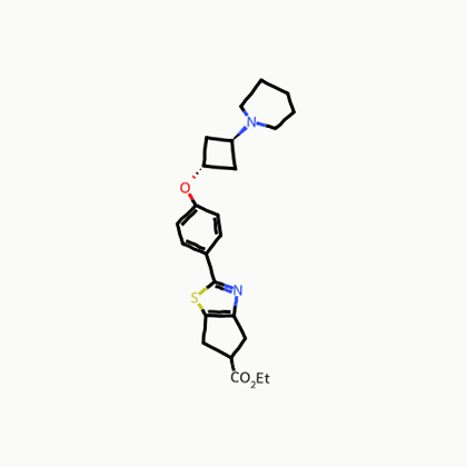 CCOC(=O)C1Cc2nc(-c3ccc(O[C@H]4C[C@H](N5CCCCC5)C4)cc3)sc2C1